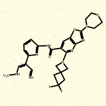 CN/C=C(\C=N)c1cccc(NC(=O)c2cc3oc(N4CCOCC4)nc3nc2N2CC3(C2)CC(F)(F)C3)n1